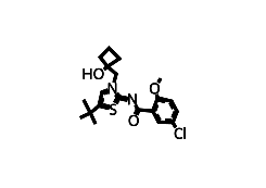 COc1ccc(Cl)cc1C(=O)N=c1sc(C(C)(C)C)cn1CC1(O)CCC1